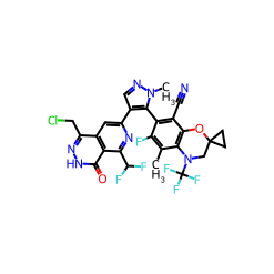 Cc1c(F)c(-c2c(-c3cc4c(CCl)n[nH]c(=O)c4c(C(F)F)n3)cnn2C)c(C#N)c2c1N(C(F)(F)F)CC1(CC1)O2